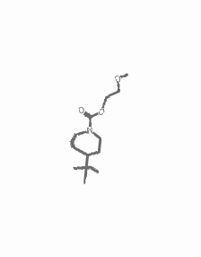 COCCOC(=O)N1CCC(C(C)(C)C)CC1